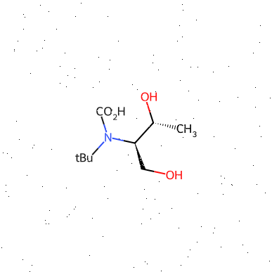 C[C@@H](O)[C@@H](CO)N(C(=O)O)C(C)(C)C